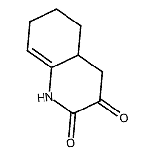 O=C1CC2CCCC=C2NC1=O